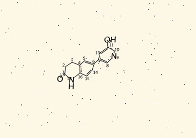 O=C1CCc2cc(-c3cncc(O)c3)ccc2N1